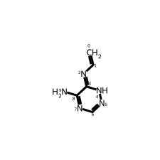 C=C/N=c1\[nH]ncnc1N